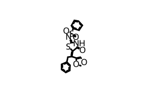 O=C1NC(=NS(=O)(=O)c2ccccc2)SC1=C(Cc1ccccc1)C1=COCO1